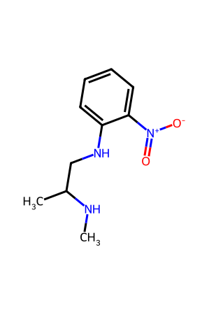 CNC(C)CNc1ccccc1[N+](=O)[O-]